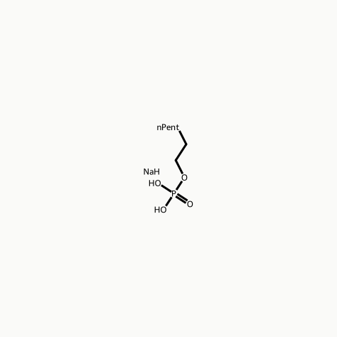 CCCCCCCOP(=O)(O)O.[NaH]